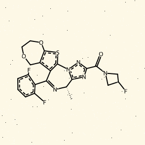 C[C@@H]1N=C(c2c(F)cccc2F)c2c(sc3c2COCCO3)-n2nc(C(=O)N3CC(F)C3)nc21